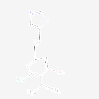 C=C(C)c1c(O)cc(/C=C/c2cncs2)cc1O